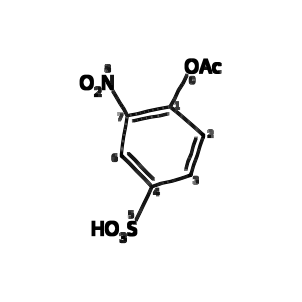 CC(=O)Oc1ccc(S(=O)(=O)O)cc1[N+](=O)[O-]